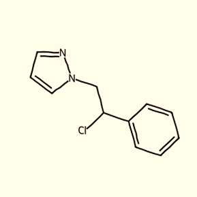 ClC(Cn1cccn1)c1ccccc1